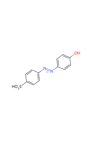 O=S(=O)(O)c1ccc(/N=N/c2ccc(O)cc2)cc1